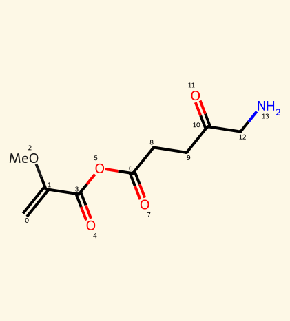 C=C(OC)C(=O)OC(=O)CCC(=O)CN